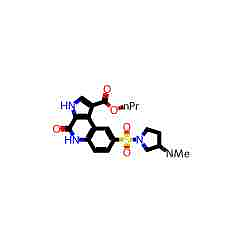 CCCOC(=O)c1c[nH]c2c(=O)[nH]c3ccc(S(=O)(=O)N4CCC(NC)C4)cc3c12